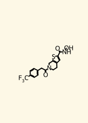 O=C(NO)c1cc2c(s1)CN(C(=O)Cc1ccc(C(F)(F)F)cc1)CC2